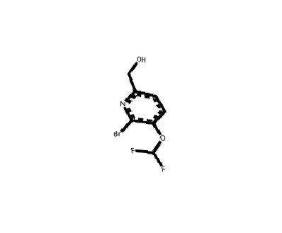 OCc1ccc(OC(F)F)c(Br)n1